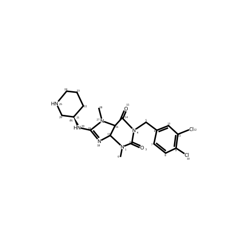 CN1C(=O)N(Cc2ccc(Cl)c(Cl)c2)C(=O)C2C1N=C(N[C@@H]1CCCNC1)N2C